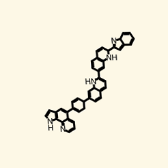 C1=CC2=CC(C3C=Cc4ccc(C5=CC=C6C=CC(C7C=CC(c8cc9cc[nH]c9c9ncccc89)=CC7)=CC6N5)cc4N3)=NC2C=C1